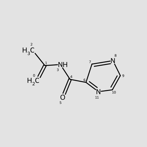 C=C(C)NC(=O)c1cnccn1